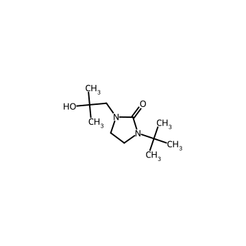 CC(C)(O)CN1CCN(C(C)(C)C)C1=O